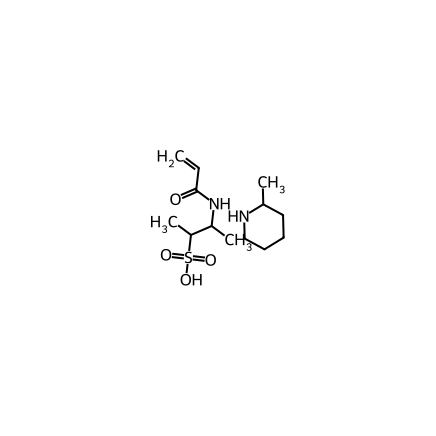 C=CC(=O)NC(C)C(C)S(=O)(=O)O.CC1CCCCN1